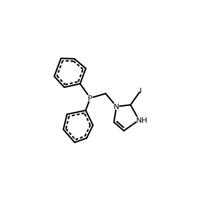 IC1NC=CN1CP(c1ccccc1)c1ccccc1